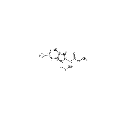 COC(=O)C1NCCc2c1[nH]c1ccc(C)cc21